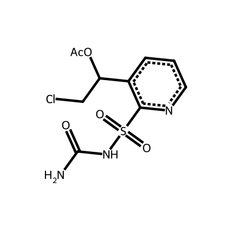 CC(=O)OC(CCl)c1cccnc1S(=O)(=O)NC(N)=O